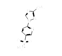 Cc1ncn(-c2ccc(S(N)(=O)=O)cn2)n1